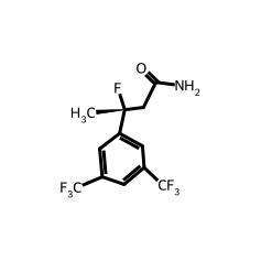 C[C@@](F)(CC(N)=O)c1cc(C(F)(F)F)cc(C(F)(F)F)c1